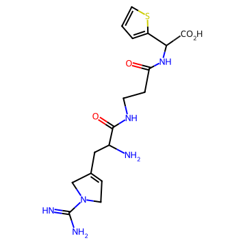 N=C(N)N1CC=C(CC(N)C(=O)NCCC(=O)NC(C(=O)O)c2cccs2)C1